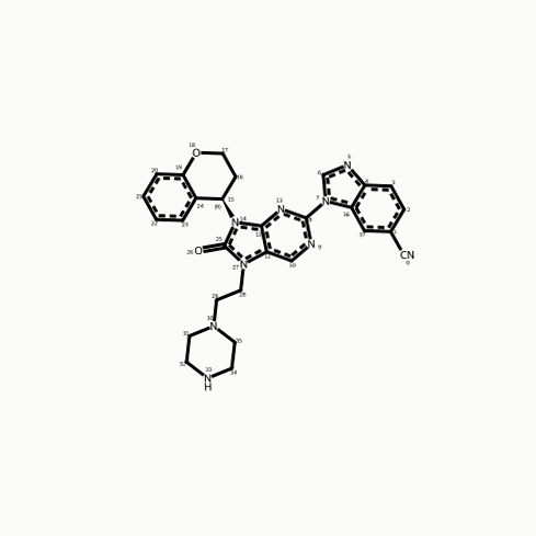 N#Cc1ccc2ncn(-c3ncc4c(n3)n([C@@H]3CCOc5ccccc53)c(=O)n4CCN3CCNCC3)c2c1